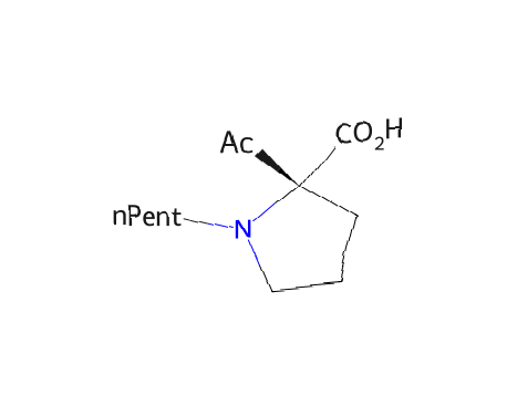 CCCCCN1CCC[C@@]1(C(C)=O)C(=O)O